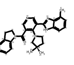 Cc1cccc2[nH]c(-c3cncc(C(=O)N4CCc5ccccc54)c3N3CC[C@](C)(N)C3)nc12